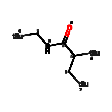 CC(C)(C)CBC(=O)C(CC(C)(C)C)C(C)(C)C